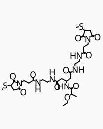 CCOC(C)C(=O)NC(CC(=O)NCCNC(=O)CCN1C(=O)CC(SC)C1=O)CC(=O)NCCNC(=O)CCN1C(=O)CC(SC)C1=O